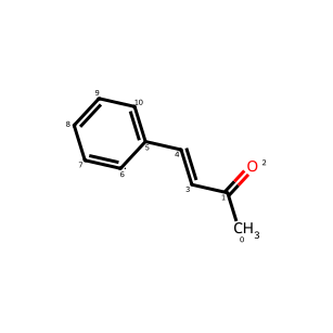 CC(=O)C=Cc1[c]cccc1